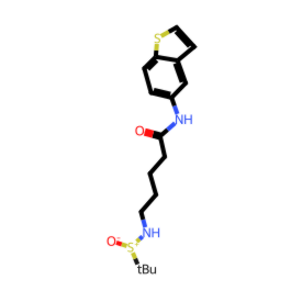 CC(C)(C)[S+]([O-])NCCCCC(=O)Nc1ccc2sccc2c1